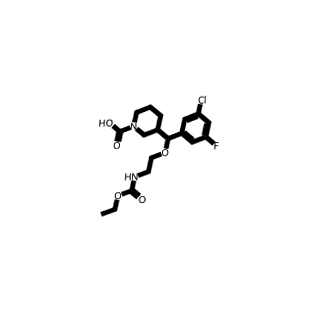 CCOC(=O)NCCOC(c1cc(F)cc(Cl)c1)C1CCCN(C(=O)O)C1